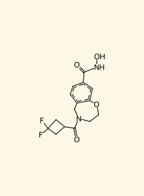 O=C(NO)c1ccc2c(c1)OCCN(C(=O)C1CC(F)(F)C1)C2